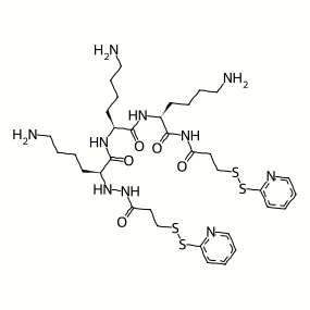 NCCCC[C@H](NNC(=O)CCSSc1ccccn1)C(=O)N[C@@H](CCCCN)C(=O)N[C@@H](CCCCN)C(=O)NC(=O)CCSSc1ccccn1